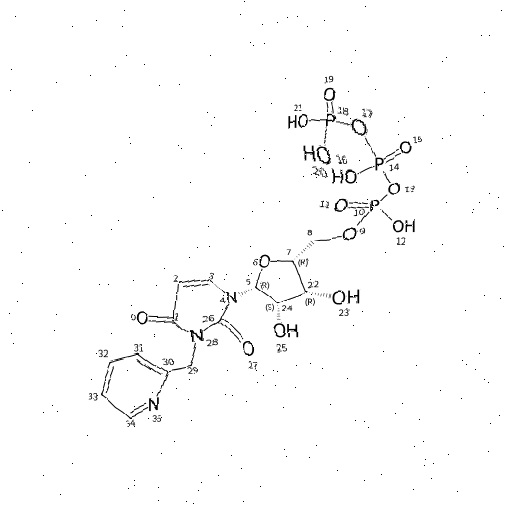 O=c1ccn([C@@H]2O[C@H](COP(=O)(O)OP(=O)(O)OP(=O)(O)O)[C@H](O)[C@@H]2O)c(=O)n1Cc1ccccn1